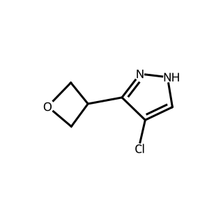 Clc1c[nH]nc1C1COC1